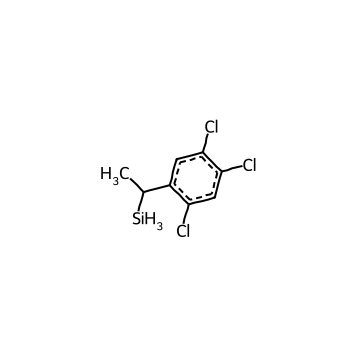 CC([SiH3])c1cc(Cl)c(Cl)cc1Cl